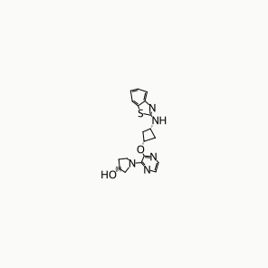 O[C@@H]1CCN(c2nccnc2O[C@H]2C[C@@H](Nc3nc4ccccc4s3)C2)C1